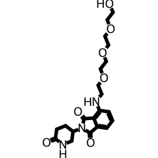 O=C1CCC(N2C(=O)c3cccc(NCCOCCOCCOCCO)c3C2=O)CN1